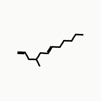 C=CCC(C)CC=CCCCCC